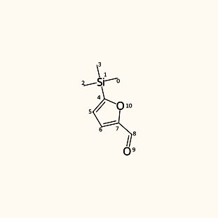 C[Si](C)(C)c1ccc(C=O)o1